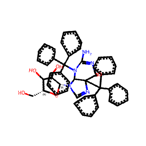 NC1=NC(=O)C2(C(c3ccccc3)(c3ccccc3)c3ccccc3)N=CN([C@@H]3O[C@H](CO)C(O)C3O)C2N1C(c1ccccc1)(c1ccccc1)c1ccccc1